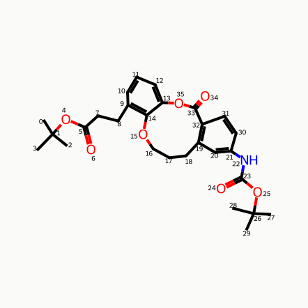 CC(C)(C)OC(=O)CCc1cccc2c1OCCCc1cc(NC(=O)OC(C)(C)C)ccc1C(=O)O2